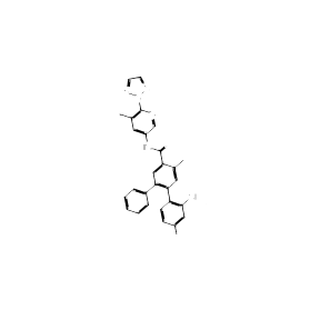 Cc1cc(-c2ccc(F)cc2N)c(-c2ccccc2)cc1C(=O)Nc1cnc(-n2nccn2)c(Cl)c1